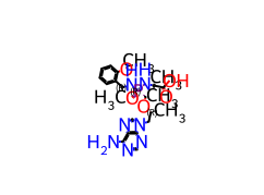 COc1ccccc1[C@@H](C)N[P@](=O)(CO[C@H](C)Cn1cnc2c(N)ncnc21)NC(C)(C)C(=O)O